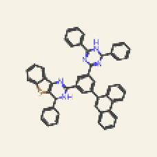 c1ccc(C2=NC(c3cc(C4=Nc5c(sc6ccccc56)C(c5ccccc5)N4)cc(-c4cc5ccccc5c5ccccc45)c3)=NC(c3ccccc3)N2)cc1